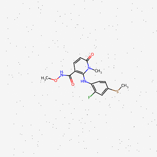 CONC(=O)c1ccc(=O)n(C)c1Nc1ccc(SC)cc1F